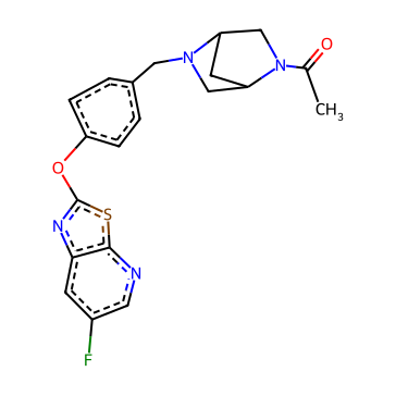 CC(=O)N1CC2CC1CN2Cc1ccc(Oc2nc3cc(F)cnc3s2)cc1